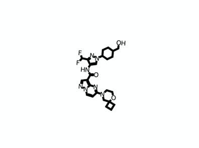 O=C(Nc1cn(C2CCC(CO)CC2)nc1C(F)F)c1cnn2ccc(N3CCOC4(CCC4)C3)nc12